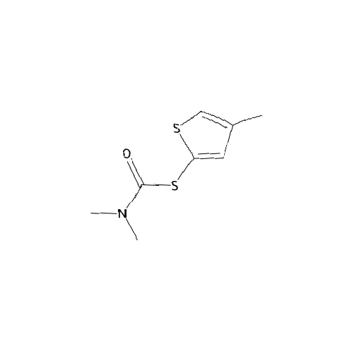 Cc1csc(SC(=O)N(C)C)c1